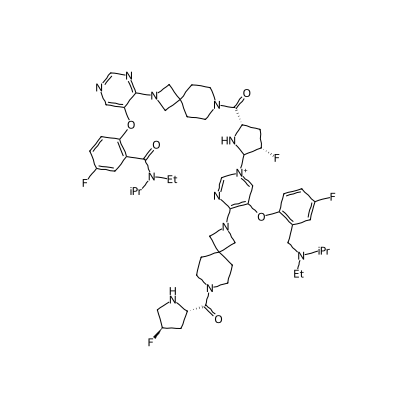 CCN(Cc1cc(F)ccc1Oc1c[n+](C2N[C@H](C(=O)N3CCC4(CC3)CN(c3ncncc3Oc3ccc(F)cc3C(=O)N(CC)C(C)C)C4)C[C@@H]2F)cnc1N1CC2(CCN(C(=O)[C@@H]3C[C@@H](F)CN3)CC2)C1)C(C)C